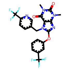 Cn1c(=O)c2c(nc(Oc3cccc(C(F)(F)F)c3)n2Cc2ccc(C(F)(F)F)nc2)n(C)c1=O